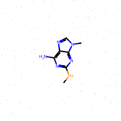 CPc1nc(N)c2ncn(C)c2n1